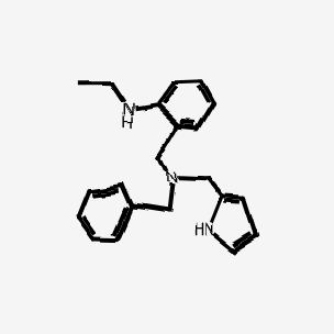 CCNc1ccccc1CN(Cc1ccccc1)Cc1ccc[nH]1